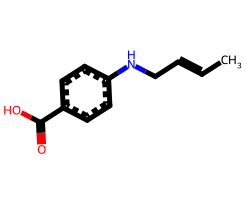 CC=CCNc1ccc(C(=O)O)cc1